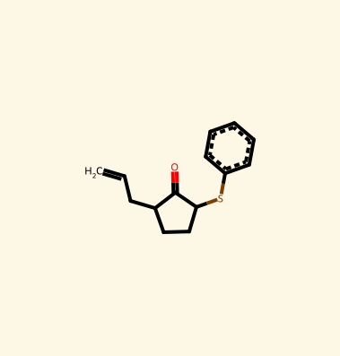 C=CCC1CCC(Sc2ccccc2)C1=O